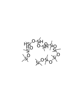 C[SiH](O[SiH](C)O[SiH](C)O[Si](C)(C)O[Si](C)(C)O[Si](C)(C)O[Si](C)(C)O[Si](C)(C)C)O[SiH](C)O[Si](C)(C)C